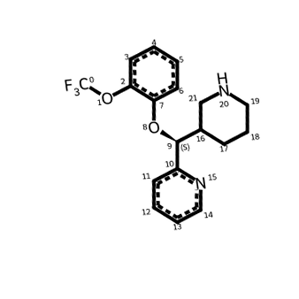 FC(F)(F)Oc1ccccc1O[C@H](c1ccccn1)C1CCCNC1